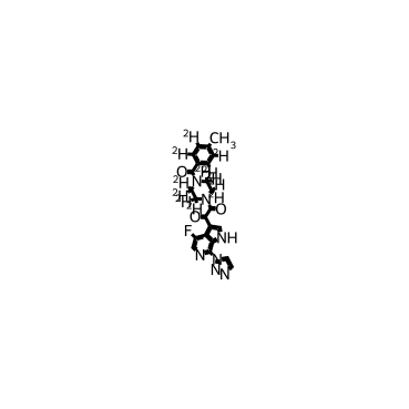 [2H]c1c([2H])c(C(=O)N2C([2H])([2H])C([2H])([2H])N(C(=O)C(=O)c3c[nH]c4c(-n5ccnn5)ncc(F)c34)C([2H])([2H])C2([2H])[2H])c([2H])c([2H])c1C